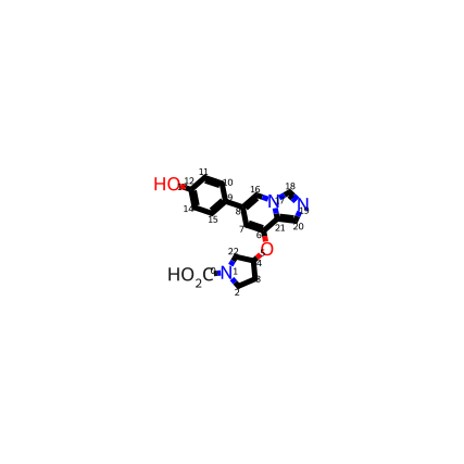 O=C(O)N1CCC(Oc2cc(-c3ccc(O)cc3)cn3cncc23)C1